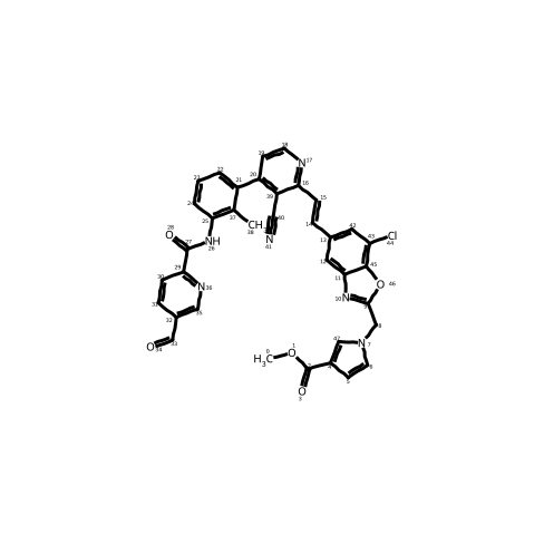 COC(=O)c1ccn(Cc2nc3cc(C=Cc4nccc(-c5cccc(NC(=O)c6ccc(C=O)cn6)c5C)c4C#N)cc(Cl)c3o2)c1